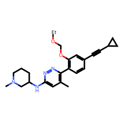 CCOCOc1cc(C#CC2CC2)ccc1-c1nnc(NC2CCCN(C)C2)cc1C